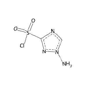 Nn1cnc(S(=O)(=O)Cl)n1